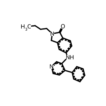 CCCCN1Cc2cc(Nc3cnccc3-c3ccccc3)ccc2C1=O